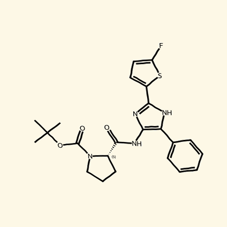 CC(C)(C)OC(=O)N1CCC[C@H]1C(=O)Nc1nc(-c2ccc(F)s2)[nH]c1-c1ccccc1